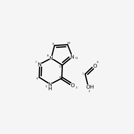 O=CO.O=c1[nH]cnn2ccnc12